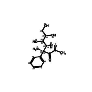 CC(=O)C(=O)[C@@](N)(c1ccccc1)[C@@H](O)[C@@H](O)[C@H](O)CO